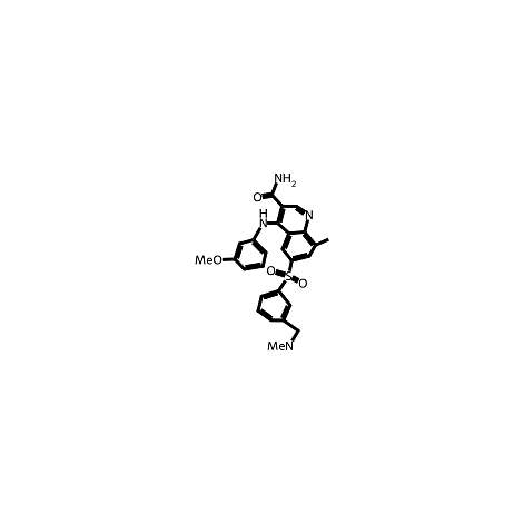 CNCc1cccc(S(=O)(=O)c2cc(C)c3ncc(C(N)=O)c(Nc4cccc(OC)c4)c3c2)c1